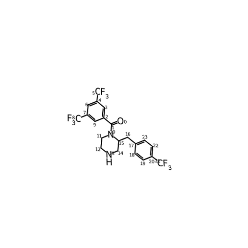 O=C(c1cc(C(F)(F)F)cc(C(F)(F)F)c1)N1CCNCC1Cc1ccc(C(F)(F)F)cc1